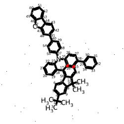 CC(C)(C)c1ccc2c(c1)C(C)(C)c1cccc(-c3ccccc3N(c3ccc(-c4ccccc4)cc3)c3ccc(-c4ccc5c(c4)oc4ccccc45)cc3)c1-2